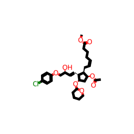 COC(=O)CCC/C=C\C[C@@H]1[C@@H](/C=C/[C@@H](O)COc2ccc(Cl)cc2)[C@H](OC2CCCCO2)C[C@@H]1OC(C)=O